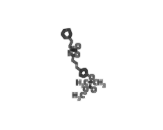 CCOC(=O)C(C)(C)Oc1ccc(CCCc2nn(CCc3ccccc3)c(=O)o2)cc1